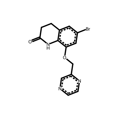 O=C1CCc2cc(Br)cc(OCc3cnccn3)c2N1